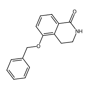 O=C1NCCc2c(OCc3ccccc3)cccc21